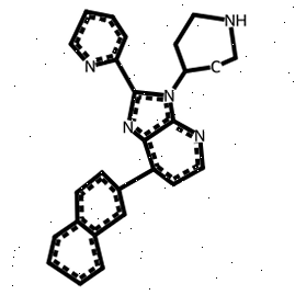 c1ccc(-c2nc3c(-c4ccc5ccccc5c4)ccnc3n2C2CCNCC2)nc1